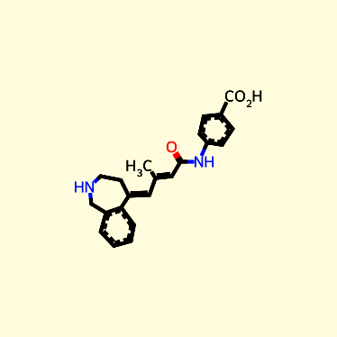 CC(=C\C(=O)Nc1ccc(C(=O)O)cc1)/C=C1\CCNCc2ccccc21